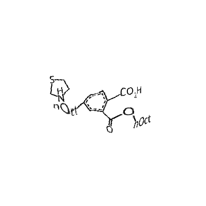 C1CSCN1.CCCCCCCCOC(=O)c1cc(CCCCCCCC)ccc1C(=O)O